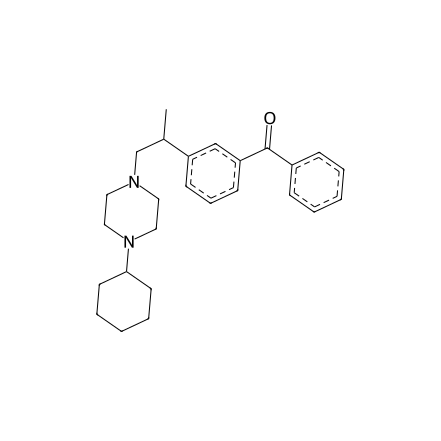 CC(CN1CCN(C2CCCCC2)CC1)c1cccc(C(=O)c2ccccc2)c1